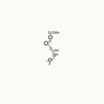 COC(=O)c1ccc(Oc2ccccc2CCOC[C@@H](O)CNC(C)(C)Cc2ccc(C)c(F)c2)cc1